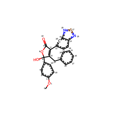 COc1ccc(C2(O)OC(=O)C(c3ccc4nsnc4c3)=C2Cc2ccccc2)cc1